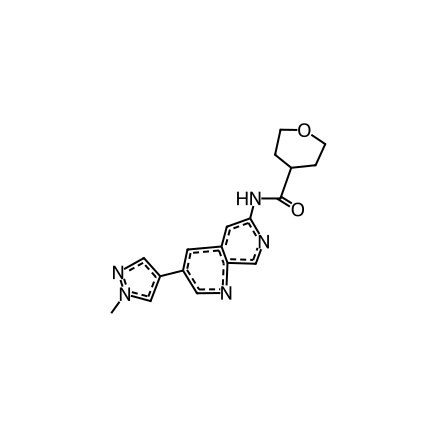 Cn1cc(-c2cnc3cnc(NC(=O)C4CCOCC4)cc3c2)cn1